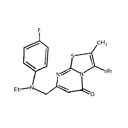 CCCc1c(C)sc2nc(CN(CC)c3ccc(F)cc3)cc(=O)n12